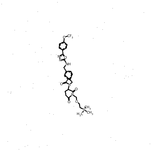 C[Si](C)(C)CCOCN1C(=O)CCC(N2Cc3ccc(CNc4nnc(-c5ccc(OC(F)(F)F)cc5)o4)cc3C2=O)C1=O